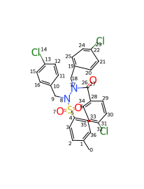 Cc1ccc(S(=O)(=O)N(Cc2ccc(Cl)cc2)N(Cc2ccc(Cl)cc2)C(=O)c2ccc(Cl)cc2)cc1